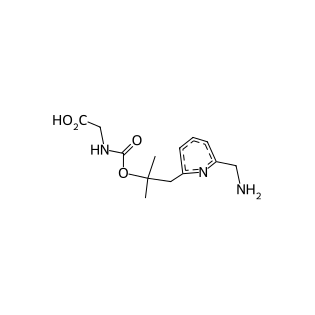 CC(C)(Cc1cccc(CN)n1)OC(=O)NCC(=O)O